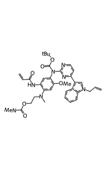 C=CCn1cc(-c2ccnc(N(C(=O)OC(C)(C)C)c3cc(NC(=O)C=C)c(N(C)CCOC(=O)NC)cc3OC)n2)c2ccccc21